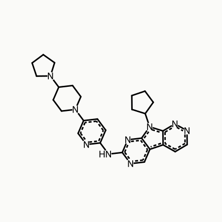 c1cc2c3cnc(Nc4ccc(N5CCC(N6CCCC6)CC5)cn4)nc3n(C3CCCC3)c2nn1